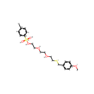 COc1ccc(CSCCOCCOCCOS(=O)(=O)c2ccc(C)cc2)cc1